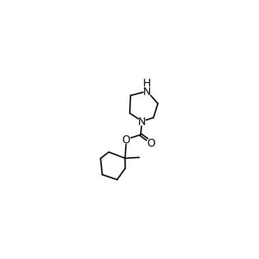 CC1(OC(=O)N2CCNCC2)CCCCC1